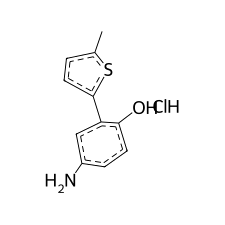 Cc1ccc(-c2cc(N)ccc2O)s1.Cl